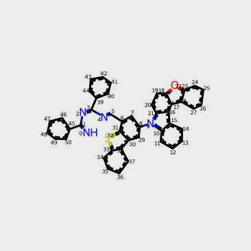 N=C(/N=C(\N=C\c1cc(-n2c3ccccc3c3c4c(ccc32)oc2ccccc24)cc2c1sc1ccccc12)c1ccccc1)c1ccccc1